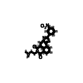 CN(C)CCN1C(=O)c2cccc3c2c(cc2nc(-c4cccc([N+](=O)[O-])c4)sc23)C1=O